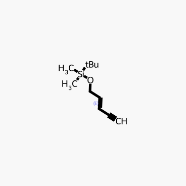 C#C/C=C/CO[Si](C)(C)C(C)(C)C